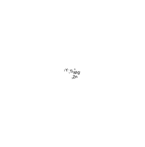 [Mg].[Ti].[Y].[Zn]